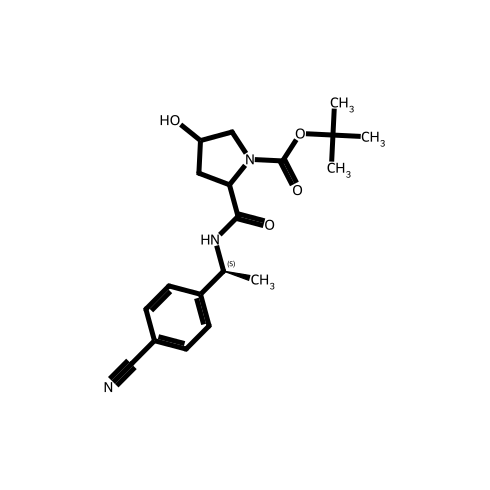 C[C@H](NC(=O)C1CC(O)CN1C(=O)OC(C)(C)C)c1ccc(C#N)cc1